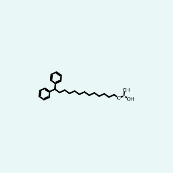 OP(O)OCCCCCCCCCCCCC(c1ccccc1)c1ccccc1